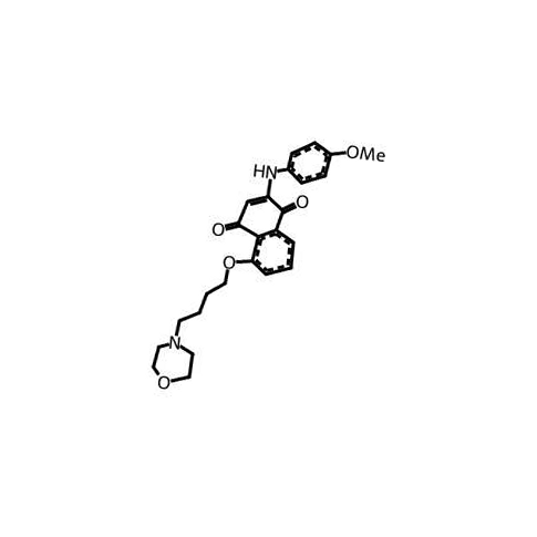 COc1ccc(NC2=CC(=O)c3c(OCCCCN4CCOCC4)cccc3C2=O)cc1